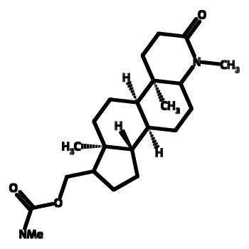 CNC(=O)OCC1CC[C@H]2[C@@H]3CCC4N(C)C(=O)CC[C@]4(C)[C@@H]3CC[C@]12C